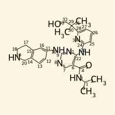 CC(C)NC(=O)c1cnc(Nc2ccc3c(c2)CCNC3)nc1Nc1cccc(C(C)(C)CO)n1